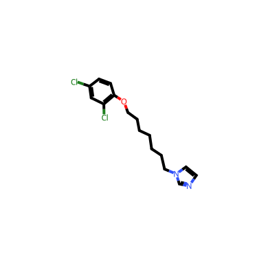 Clc1ccc(OCCCCCCCn2ccnc2)c(Cl)c1